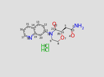 Cl.Cl.NC(=O)C[C@H]1OCCN(c2ccc3cccnc3c2)C1=O